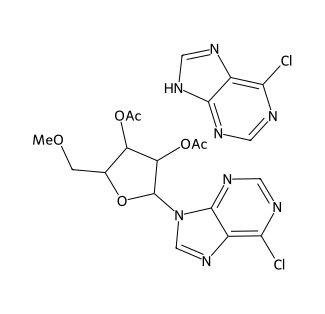 COCC1OC(n2cnc3c(Cl)ncnc32)C(OC(C)=O)C1OC(C)=O.Clc1ncnc2[nH]cnc12